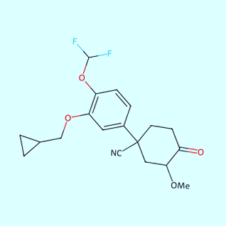 COC1CC(C#N)(c2ccc(OC(F)F)c(OCC3CC3)c2)CCC1=O